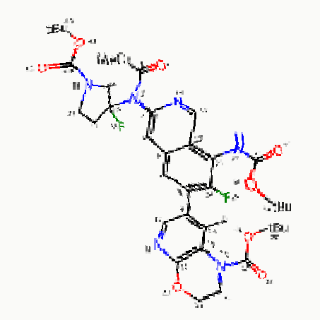 COC(=O)N(c1cc2cc(-c3cnc4c(c3C)N(C(=O)OC(C)(C)C)CCO4)c(F)c(NC(=O)OC(C)(C)C)c2cn1)C1(F)CCN(C(=O)OC(C)(C)C)C1